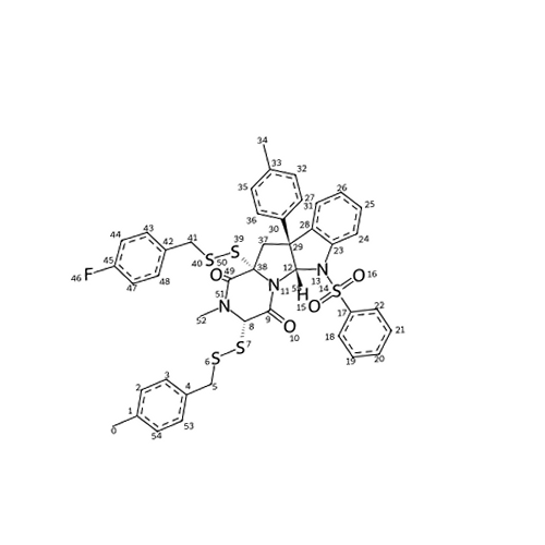 Cc1ccc(CSS[C@H]2C(=O)N3[C@H]4N(S(=O)(=O)c5ccccc5)c5ccccc5[C@@]4(c4ccc(C)cc4)C[C@]3(SSCc3ccc(F)cc3)C(=O)N2C)cc1